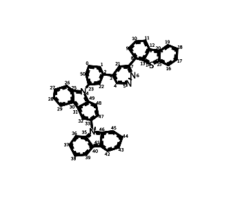 c1cc(-c2cnnc(-c3cccc4c3sc3ccccc34)c2)cc(-n2c3ccccc3c3cc(-n4c5ccccc5c5ccccc54)ccc32)c1